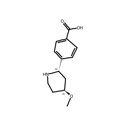 CO[C@H]1CCN[C@H](c2ccc(C(=O)O)cc2)C1